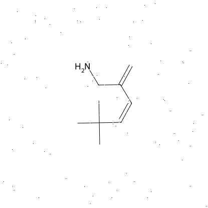 C=C(/C=C\C(C)(C)C)CN